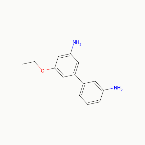 CCOc1cc(N)cc(-c2cccc(N)c2)c1